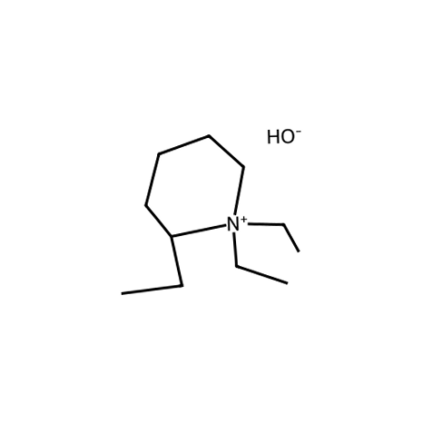 CCC1CCCC[N+]1(CC)CC.[OH-]